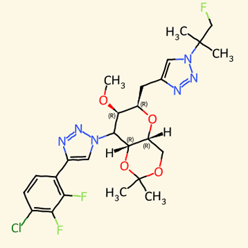 CO[C@@H]1C(n2cc(-c3ccc(Cl)c(F)c3F)nn2)[C@H]2OC(C)(C)OC[C@H]2O[C@@H]1Cc1cn(C(C)(C)CF)nn1